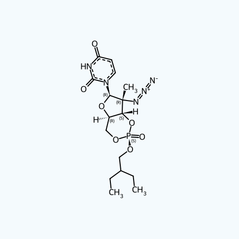 CCC(CC)CO[P@@]1(=O)OC[C@H]2O[C@@H](n3ccc(=O)[nH]c3=O)[C@](C)(N=[N+]=[N-])[C@@H]2O1